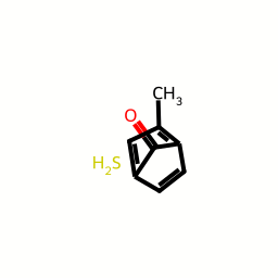 CC1=C2C=CC(=C1)C2=O.S